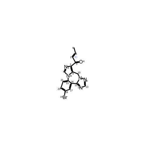 C/C=C/C(=O)c1ncn2c1Cn1ncnc1-c1cc(Br)ccc1-2